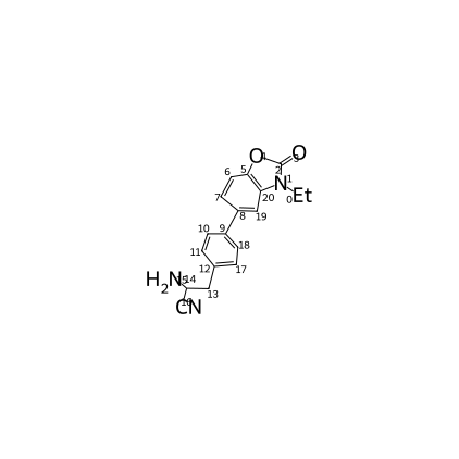 CCn1c(=O)oc2ccc(-c3ccc(CC(N)C#N)cc3)cc21